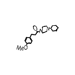 COc1ccc(CCC(=O)N2CCN(C3CCCCC3)CC2)cc1